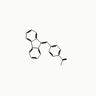 CC(=O)c1ccc(C=C2c3ccccc3-c3ccccc32)cc1